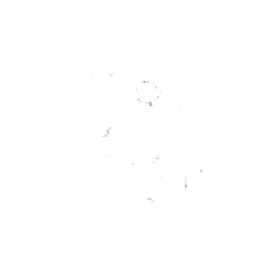 CNC(=O)Oc1ccc(CN2CCCC2)cc1OCC#CC1(O)CCSCC1.O=C(O)CC(O)(CC(=O)O)C(=O)O